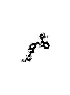 CC(C)(C)c1csc(-c2cc3cc(Cn4nc5ccccc5c4-c4nnn[nH]4)ccc3o2)n1